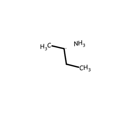 C[CH]CC.N